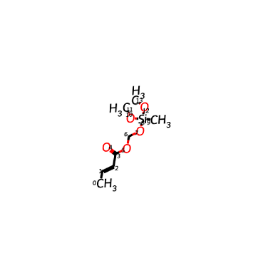 CC=CC(=O)OCO[Si](C)(OC)OC